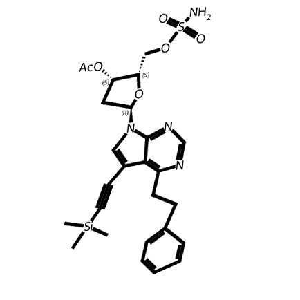 CC(=O)O[C@H]1C[C@H](n2cc(C#C[Si](C)(C)C)c3c(CCc4ccccc4)ncnc32)O[C@H]1COS(N)(=O)=O